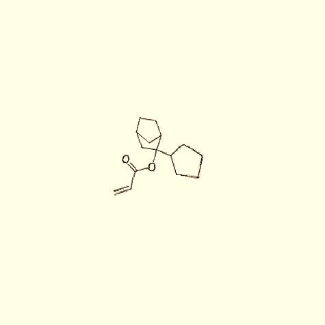 C=CC(=O)OC1(C2CCCC2)CC2CCC1C2